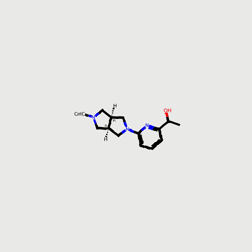 CC(O)c1cccc(N2C[C@H]3CN(C=O)C[C@H]3C2)n1